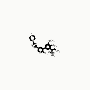 CCC(c1cc(-c2cc(-c3nnc(N4CCNCC4)o3)cnc2N)cc(OC)c1OC)S(N)(=O)=O